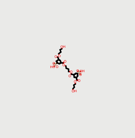 O=C(OCCCCO)c1cc(C(=O)OCCCCOC(=O)c2cc(C(=O)OCCCCO)cc(S(=O)(=O)O)c2)cc(S(=O)(=O)O)c1